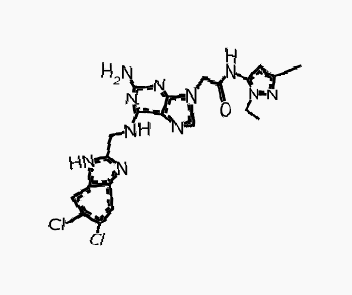 CCn1nc(C)cc1NC(=O)Cn1cnc2c(NCc3nc4cc(Cl)c(Cl)cc4[nH]3)nc(N)nc21